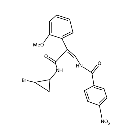 COc1ccccc1C(=CNC(=O)c1ccc([N+](=O)[O-])cc1)C(=O)NC1CC1Br